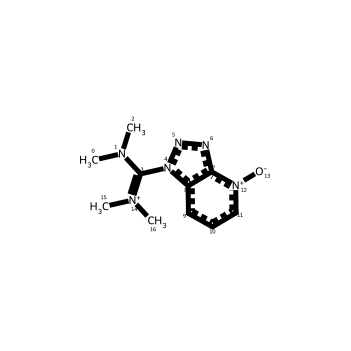 CN(C)C(n1nnc2c1ccc[n+]2[O-])=[N+](C)C